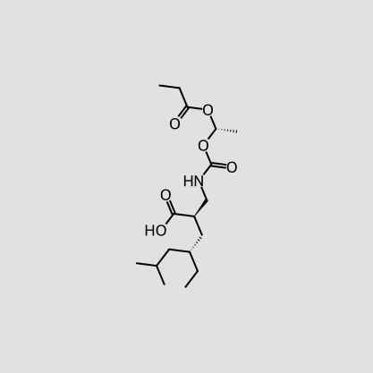 CCC(=O)O[C@H](C)OC(=O)NC[C@@H](C[C@H](CC)CC(C)C)C(=O)O